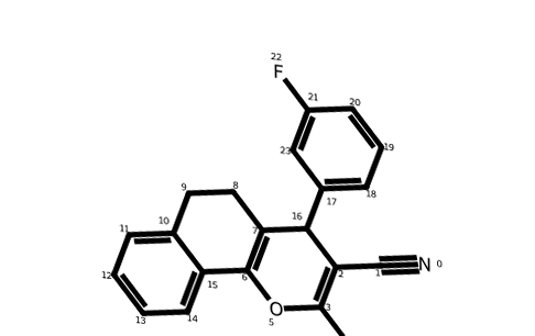 N#CC1=C(N)OC2=C(CCc3ccccc32)C1c1cccc(F)c1